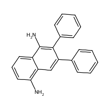 Nc1cccc2c(N)c(-c3ccccc3)c(-c3ccccc3)cc12